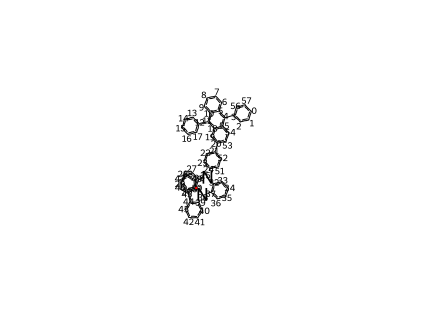 c1ccc(-c2c3ccccc3c(-c3ccccc3)c3cc(-c4ccc(N(c5ccccc5)c5ccccc5-n5c6ccccc6c6ccccc65)cc4)ccc23)cc1